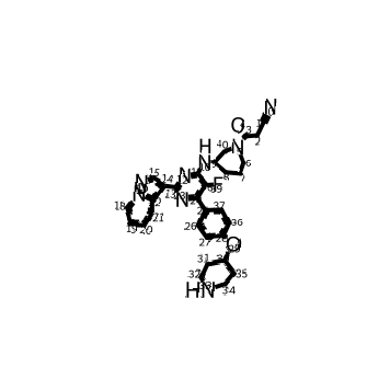 N#CCC(=O)N1CCC[C@@H](Nc2nc(-c3cnn4ccccc34)nc(-c3ccc(OC4CCNCC4)cc3)c2F)C1